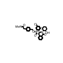 CNC(=O)Cc1ccc(CONC(=O)[C@@H]2c3ccccc3C(=O)N([C@H]3CCCC[C@@H]3O)[C@H]2c2ccc(Cl)cc2Cl)cc1